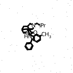 Cc1cccc(CC2C3C=NC4(C(=O)NCc5ccccc5)C(C3)CN(CC(C)C)C24)c1